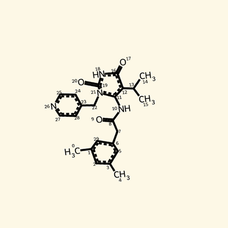 Cc1cc(C)cc(CC(=O)Nc2c(C(C)C)c(=O)[nH]c(=O)n2Cc2ccncc2)c1